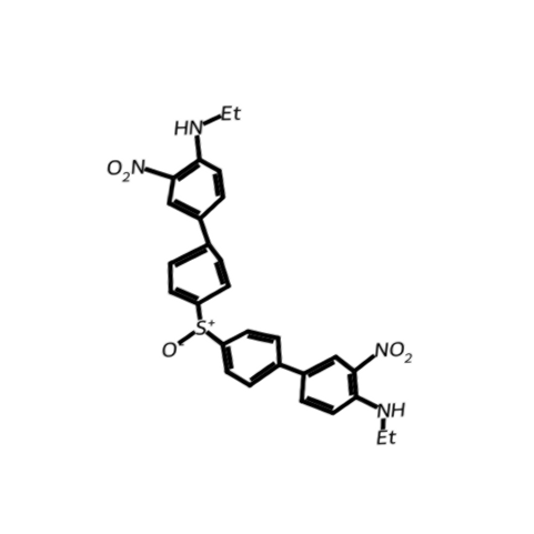 CCNc1ccc(-c2ccc([S+]([O-])c3ccc(-c4ccc(NCC)c([N+](=O)[O-])c4)cc3)cc2)cc1[N+](=O)[O-]